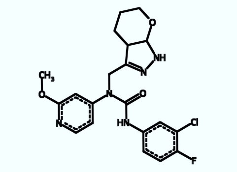 COc1cc(N(CC2=NNC3OCCCC23)C(=O)Nc2ccc(F)c(Cl)c2)ccn1